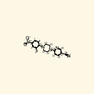 Cc1cc([N+](=O)[O-])ccc1N1CCN(c2ccc(C#N)cn2)CC1